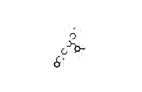 CC(C)(C)NC1CCN(C(=O)C(CC(=O)N2CCC(N3CCc4ccccc4NC3=O)CC2)Cc2cc(Cl)c(N)c(C(F)(F)F)c2)CC1